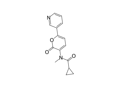 CN(C(=O)C1CC1)c1ccc(-c2cccnc2)oc1=O